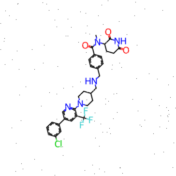 CN(C(=O)c1ccc(CNCC2CCN(c3ncc(-c4cccc(Cl)c4)cc3C(F)(F)F)CC2)cc1)C1CCC(=O)NC1=O